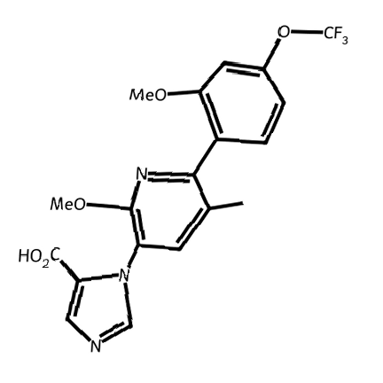 COc1cc(OC(F)(F)F)ccc1-c1nc(OC)c(-n2cncc2C(=O)O)cc1C